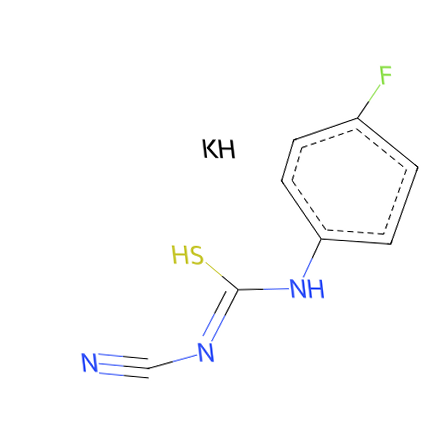 N#CN=C(S)Nc1ccc(F)cc1.[KH]